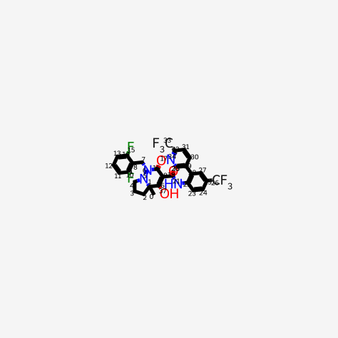 CC12CCCN1N(Cc1c(F)cccc1F)C(=O)C(C(=O)Nc1ccc(C(F)(F)F)cc1-c1ccc(C(F)(F)F)nc1)=C2O